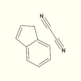 C1=Cc2ccccc2C1.N#CC#N